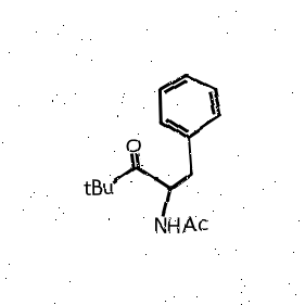 CC(=O)NC(Cc1ccccc1)C(=O)C(C)(C)C